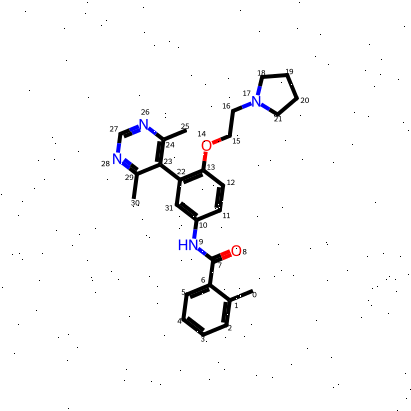 Cc1ccccc1C(=O)Nc1ccc(OCCN2CCCC2)c(-c2c(C)ncnc2C)c1